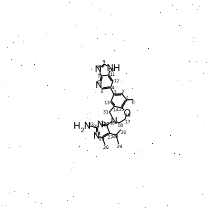 Cc1cc(-c2cnc3nc[nH]c3c2)cc2c1OCCN(c1nc(N)nc(C)c1C(C)C)C2